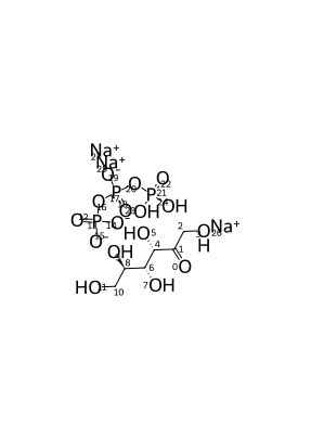 O=C(CO)[C@@H](O)[C@H](O)[C@H](O)CO.O=P([O-])([O-])OP(=O)([O-])OP(=O)(O)O.[Na+].[Na+].[Na+]